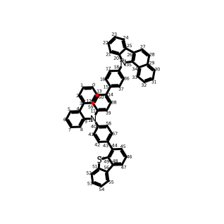 c1ccc(-c2ccccc2N(c2ccc(-c3ccc(-n4c5ccccc5c5ccc6ccccc6c54)cc3)cc2)c2ccc(-c3cccc4c3sc3ccccc34)cc2)cc1